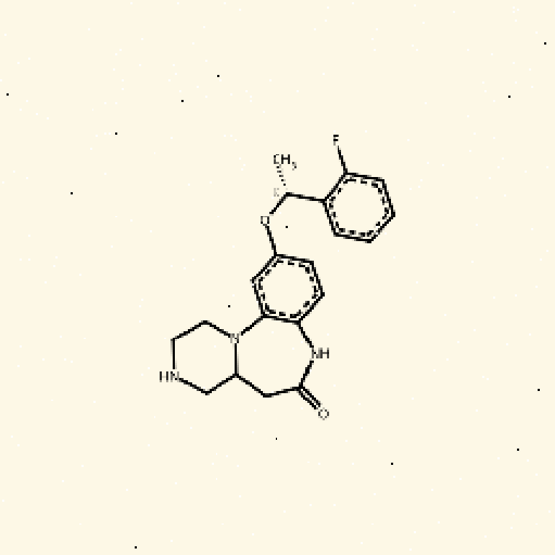 C[C@@H](Oc1ccc2c(c1)N1CCNCC1CC(=O)N2)c1ccccc1F